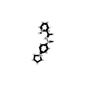 C/C(=N\N(C)c1ccc(N2CCCC2)cc1)c1cccc[n+]1C